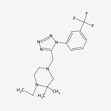 CCN1CCN(Cc2nnnn2-c2cccc(C(F)(F)F)c2)CC1(C)C